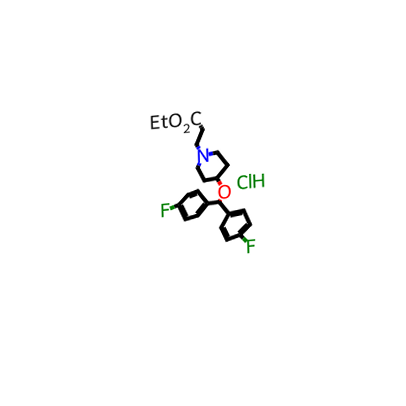 CCOC(=O)CCN1CCC(OC(c2ccc(F)cc2)c2ccc(F)cc2)CC1.Cl